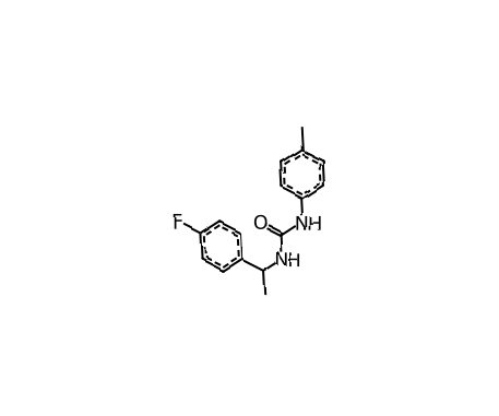 Cc1ccc(NC(=O)NC(C)c2ccc(F)cc2)cc1